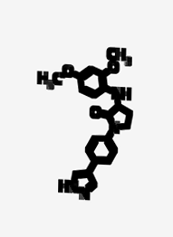 COc1ccc(NC2CCN(c3ccc(-c4cn[nH]c4)cc3)C2=O)c(OC)c1